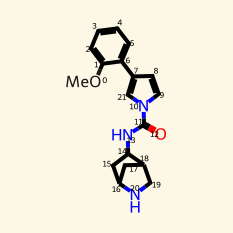 COc1ccccc1-c1ccn(C(=O)NC2CC3CC2CN3)c1